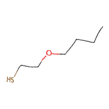 CCCCOCCS